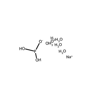 O.O.O.O.O.[Na+].[O-]P(O)O